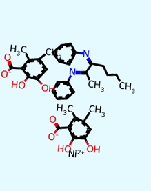 CCCCC(=Nc1ccccc1)C(C)=Nc1ccccc1.Cc1cc(O)c(O)c(C(=O)[O-])c1C.Cc1cc(O)c(O)c(C(=O)[O-])c1C.[Ni+2]